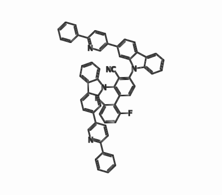 N#Cc1c(-n2c3ccccc3c3ccc(-c4ccc(-c5ccccc5)nc4)cc32)ccc(-c2c(F)cccc2F)c1-n1c2ccccc2c2ccc(-c3ccc(-c4ccccc4)nc3)cc21